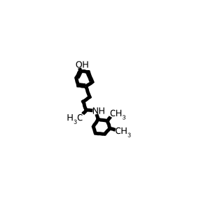 CC(CCc1ccc(O)cc1)NC1CCCC(C)C1C